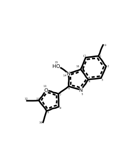 Cc1ccc2nc(-c3cc(C)c(C)o3)n(O)c2c1